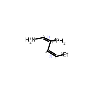 CC/C=C\C(P)=C/N